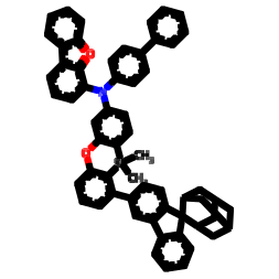 C[Si]1(C)c2ccc(N(c3ccc(-c4ccccc4)cc3)c3cccc4c3oc3ccccc34)cc2Oc2cccc(-c3ccc4c(c3)-c3ccccc3C43C4CC5CC(C4)CC3C5)c21